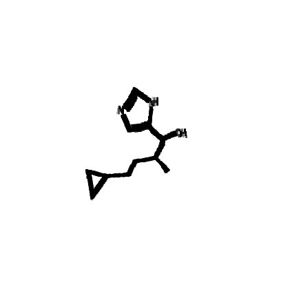 C[C@@H](CCC1CC1)C(O)c1cnc[nH]1